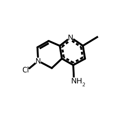 Cc1cc(N)c2c(n1)C=CN(Cl)C2